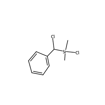 C[Si](C)(Cl)C(Cl)c1ccccc1